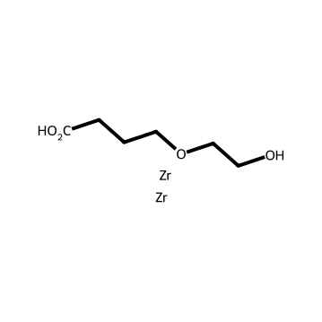 O=C(O)CCCOCCO.[Zr].[Zr]